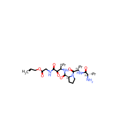 C=CCOC(=O)CNC(=O)C(=O)C(CCC)NC(=O)[C@@H]1CCCN1C(=O)[C@@H](NC(=O)[C@@H](N)C(C)C)C(C)C